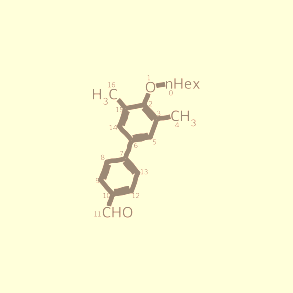 CCCCCCOc1c(C)cc(-c2ccc(C=O)cc2)cc1C